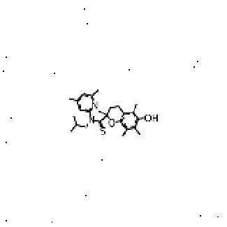 Cc1cc(C)nc(N(CC(C)C)C(=S)C2(C)CCc3c(C)c(O)c(C)c(C)c3O2)c1